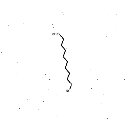 CCCCCCCCCCCCCCSC#N